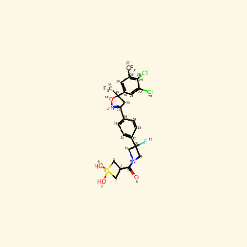 O=C(C1CS(O)(O)C1)N1CC(F)(c2ccc(C3=NOC(c4cc(Cl)c(Cl)c(C(F)(F)F)c4)(C(F)(F)F)C3)cc2)C1